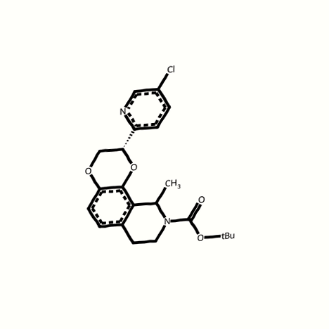 CC1c2c(ccc3c2O[C@@H](c2ccc(Cl)cn2)CO3)CCN1C(=O)OC(C)(C)C